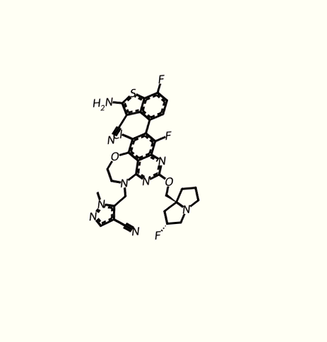 Cn1ncc(C#N)c1CN1CCOc2c(Cl)c(-c3ccc(F)c4sc(N)c(C#N)c34)c(F)c3nc(OC[C@@]45CCCN4C[C@H](F)C5)nc1c23